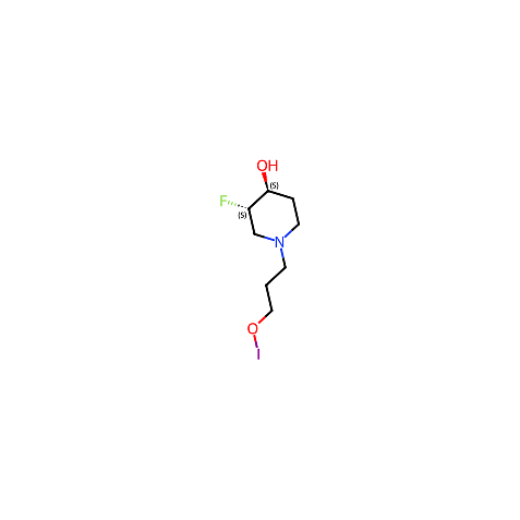 O[C@H]1CCN(CCCOI)C[C@@H]1F